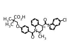 C[C@H]1C[C@H](C(=O)n2ccc3cc(Cl)ccc32)c2ccccc2N1C(=O)c1ccc(OCC(C)(C)C(=O)O)cc1